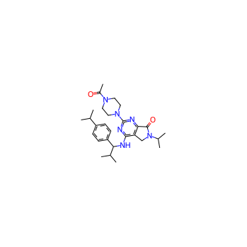 CC(=O)N1CCN(c2nc(NC(c3ccc(C(C)C)cc3)C(C)C)c3c(n2)C(=O)N(C(C)C)C3)CC1